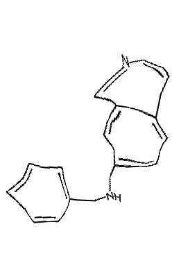 c1ccc(Nc2ccc3ccncc3c2)cc1